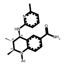 CC(=O)N1c2ccc(C(N)=O)cc2[C@H](Nc2cccc(C)n2)[C@@H](C)[C@@H]1C